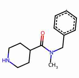 CN(Cc1cc[c]cc1)C(=O)C1CCNCC1